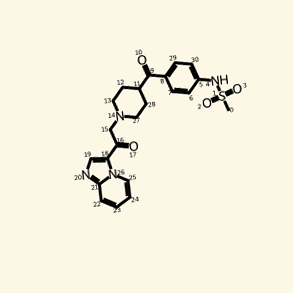 CS(=O)(=O)Nc1ccc(C(=O)C2CCN(CC(=O)c3cnc4ccccn34)CC2)cc1